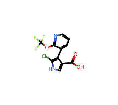 O=C(O)c1c[nH]c(Cl)c1-c1cccnc1OC(F)(F)F